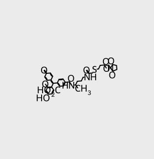 CC(CCCNC(=O)CSCCC(=O)ON1C(=O)CCC1=O)NC(=O)c1ccc(-c2c3ccc(=O)cc-3oc3cc(O)ccc23)c(C(=O)O)c1